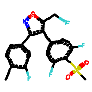 Cc1ccc(-c2noc(CF)c2-c2cc(F)c(S(C)(=O)=O)c(F)c2)cc1F